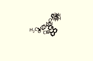 [2H]C([2H])([2H])C([2H])([2H])N1CCC[C@H]1COc1nc2c(c(N3CCN(C(=O)C=C)[C@@H](CC#N)C3)n1)CCN(c1cccc3cccc(Cl)c13)C2